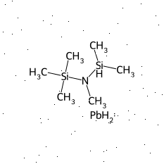 CN([SiH](C)C)[Si](C)(C)C.[PbH2]